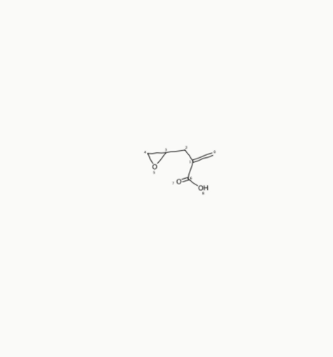 C=C(CC1CO1)C(=O)O